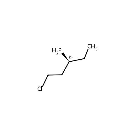 CC[C@H](P)CCCl